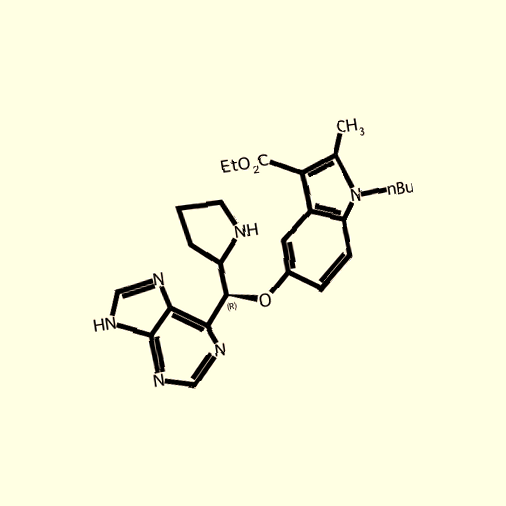 CCCCn1c(C)c(C(=O)OCC)c2cc(O[C@@H](c3ncnc4[nH]cnc34)C3CCCN3)ccc21